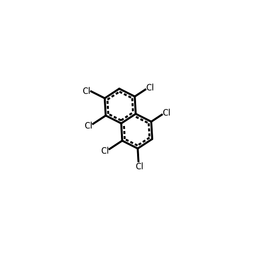 Clc1cc(Cl)c2c(Cl)cc(Cl)c(Cl)c2c1Cl